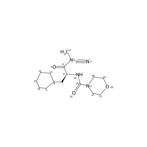 CN(C#N)C(=O)[C@H](CC1CCCCC1)NC(=O)N1CCOCC1